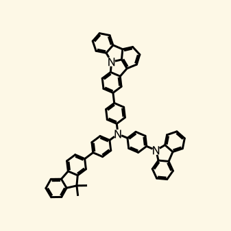 CC1(C)c2ccccc2-c2ccc(-c3ccc(N(c4ccc(-c5ccc6c(c5)c5cccc7c8ccccc8n6c75)cc4)c4ccc(-n5c6ccccc6c6ccccc65)cc4)cc3)cc21